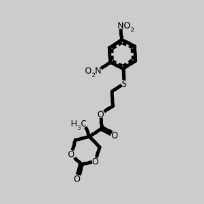 CC1(C(=O)OCCSc2ccc([N+](=O)[O-])cc2[N+](=O)[O-])COC(=O)OC1